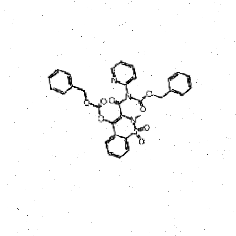 CN1C(C(=O)N(C(=O)OCc2ccccc2)c2ccccn2)=C(OC(=O)OCc2ccccc2)c2ccccc2S1(=O)=O